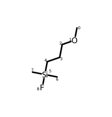 COCCC[Si](C)(C)F